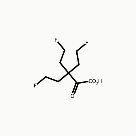 O=C(O)C(=O)C(CCF)(CCF)CCF